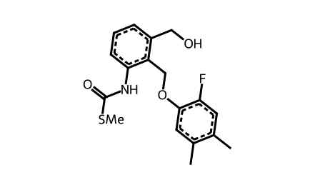 CSC(=O)Nc1cccc(CO)c1COc1cc(C)c(C)cc1F